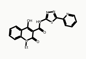 CCn1c(=O)c(C(=O)Nc2nnc(-c3ccccn3)s2)c(O)c2ccccc21